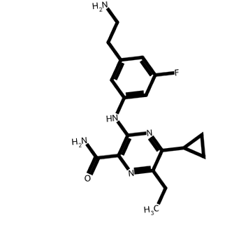 CCc1nc(C(N)=O)c(Nc2cc(F)cc(CCN)c2)nc1C1CC1